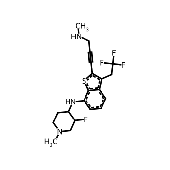 CNCC#Cc1sc2c(NC3CCN(C)CC3F)cccc2c1CC(F)(F)F